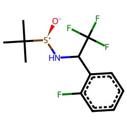 CC(C)(C)[S@@+]([O-])NC(c1ccccc1F)C(F)(F)F